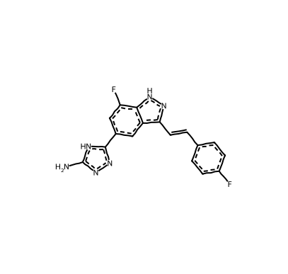 Nc1nnc(-c2cc(F)c3[nH]nc(C=Cc4ccc(F)cc4)c3c2)[nH]1